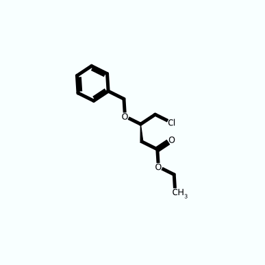 CCOC(=O)C[C@H](CCl)OCc1ccccc1